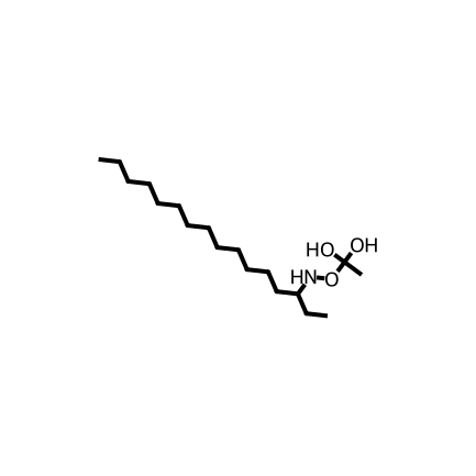 CCCCCCCCCCCCCC(CC)NOC(C)(O)O